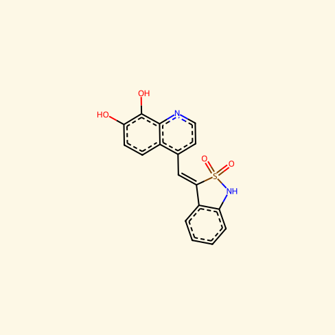 O=S1(=O)Nc2ccccc2C1=Cc1ccnc2c(O)c(O)ccc12